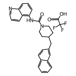 O=C(Nc1cccc2ncccc12)N1CCC(Cc2ccc3ccccc3c2)CC1.O=C(O)C(F)(F)F